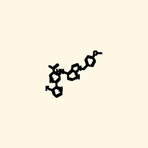 C=C(C)c1cnc(-c2ncccc2F)cc1Nc1ccnc2c1ccn2Cc1ccc(OC)cc1